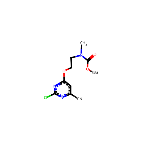 CN(CCOc1cc(C#N)nc(Cl)n1)C(=O)OC(C)(C)C